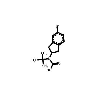 CC(C)(C)N(C(=O)O)C1Cc2ccc(Br)cc2C1